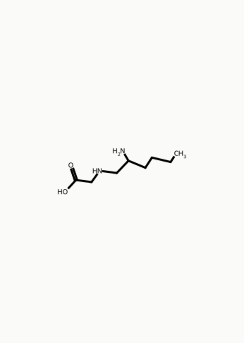 CCCCC(N)CNCC(=O)O